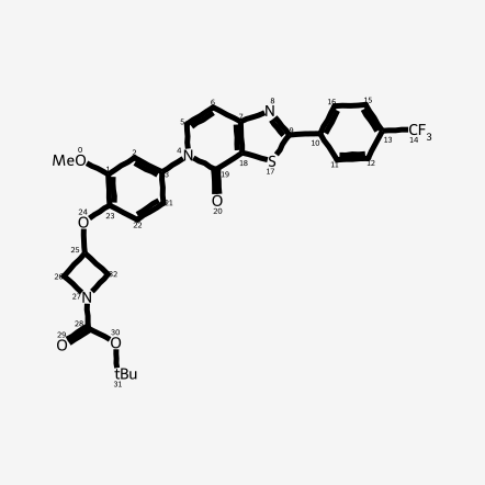 COc1cc(-n2ccc3nc(-c4ccc(C(F)(F)F)cc4)sc3c2=O)ccc1OC1CN(C(=O)OC(C)(C)C)C1